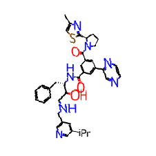 Cc1csc([C@H]2CCCN2C(=O)c2cc(C(=O)N[C@@H](Cc3ccccc3)[C@@H](O)CNCc3cncc(C(C)C)c3)cc(-c3cnccn3)c2)n1